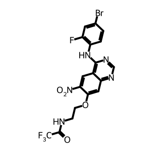 O=C(NCCOc1cc2ncnc(Nc3ccc(Br)cc3F)c2cc1[N+](=O)[O-])C(F)(F)F